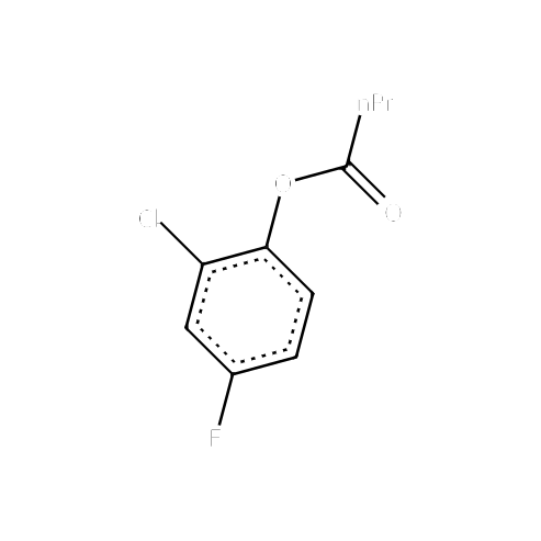 CCCC(=O)Oc1ccc(F)cc1Cl